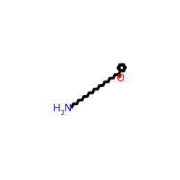 NCCCCCCCCCCCCCCCCCCC(=O)c1ccccc1